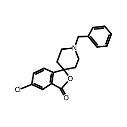 O=C1OC2(CCN(Cc3ccccc3)CC2)c2ccc(Cl)cc21